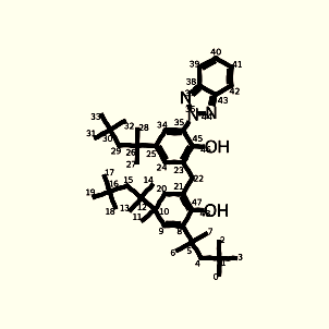 CC(C)(C)CC(C)(C)C1=CC(C)(C(C)(C)CC(C)(C)C)CC(Cc2cc(C(C)(C)CC(C)(C)C)cc(-n3nc4ccccc4n3)c2O)=C1O